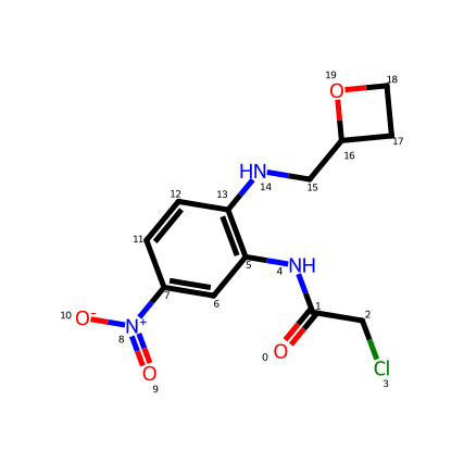 O=C(CCl)Nc1cc([N+](=O)[O-])ccc1NCC1CCO1